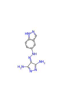 NC1=NN=C(N)C1=NNc1ccc2[nH]ncc2c1